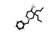 CCCC1(CCC)CN(Cc2ccccc2)CCC1O